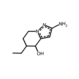 CCC1CCn2nc(N)cc2C1O